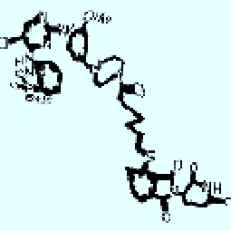 COc1cc(N2CCN(C(=O)CCCCCSc3cccc4c3C(=O)N(C3CCC(=O)NC3=O)C4=O)CC2)ccc1Nc1ncc(Cl)c(Nc2ccccc2P(=O)(OC)OC)n1